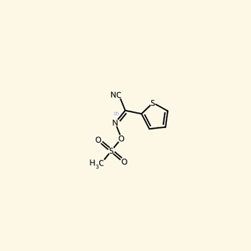 CS(=O)(=O)O/N=C(/C#N)c1cccs1